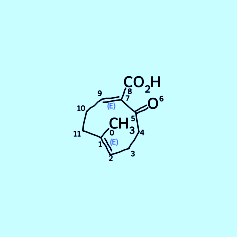 C/C1=C\CCC(=O)/C(C(=O)O)=C\CC1